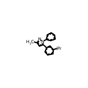 Cc1cc(-c2cccc(C(C)C)c2)n(-c2ccccc2)n1